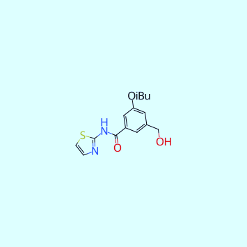 CC(C)COc1cc(CO)cc(C(=O)Nc2nccs2)c1